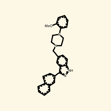 COc1ccccc1N1CCN(Cc2ccc3[nH]nc(-c4ccc5ccccc5c4)c3c2)CC1